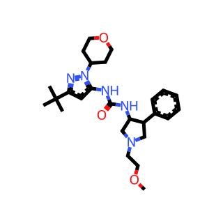 COCCN1CC(NC(=O)Nc2cc(C(C)(C)C)nn2C2CCOCC2)C(c2ccccc2)C1